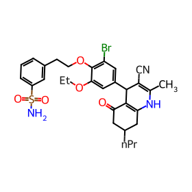 CCCC1CC(=O)C2=C(C1)NC(C)=C(C#N)C2c1cc(Br)c(OCCc2cccc(S(N)(=O)=O)c2)c(OCC)c1